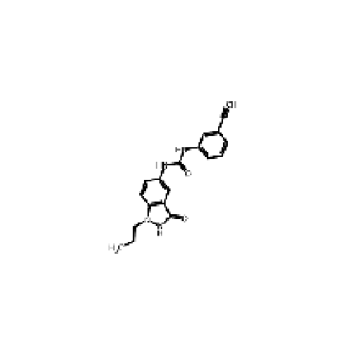 C#Cc1cccc(NC(=O)Nc2ccc3c(c2)c(=O)[nH]n3CCC)c1